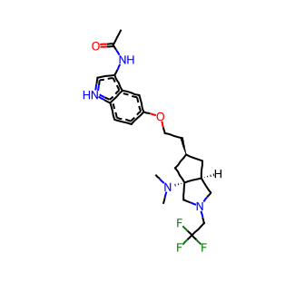 CC(=O)Nc1c[nH]c2ccc(OCC[C@H]3C[C@H]4CN(CC(F)(F)F)C[C@@]4(N(C)C)C3)cc12